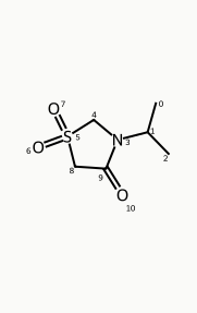 CC(C)N1CS(=O)(=O)CC1=O